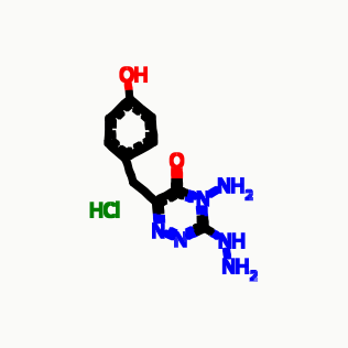 Cl.NNc1nnc(Cc2ccc(O)cc2)c(=O)n1N